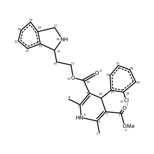 COC(=O)C1=C(C)NC(C)=C(C(=O)OCCC2NCc3ccccc32)C1c1ccccc1Cl